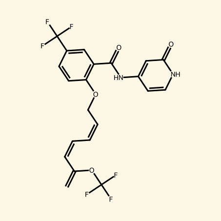 C=C(/C=C\C=C/COc1ccc(C(F)(F)F)cc1C(=O)Nc1cc[nH]c(=O)c1)OC(F)(F)F